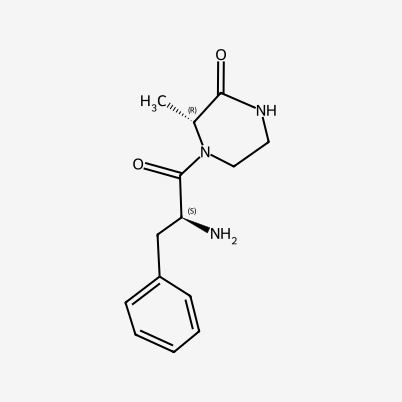 C[C@@H]1C(=O)NCCN1C(=O)[C@@H](N)Cc1ccccc1